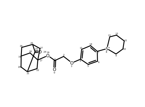 O=C(COc1ccc([S+]2CCCCC2)cc1)OC12CC3CC(C1)C(=O)C(C3)C2